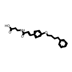 O=C(O)CCNC(=O)C=Cc1ccc(OCCCCc2ccccc2)cc1